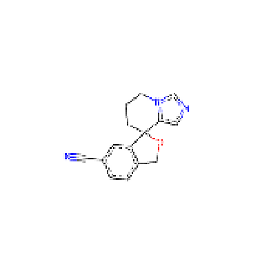 N#Cc1ccc2c(c1)C1(CCCn3cncc31)OC2